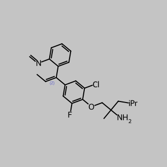 C=Nc1ccccc1/C(=C\C)c1cc(F)c(OCC(C)(N)CC(C)C)c(Cl)c1